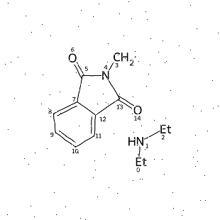 CCNCC.[CH2]N1C(=O)c2ccccc2C1=O